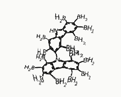 Bc1c(B)c(B)c2c([nH]c3c(B)c(B)c(-n4c5c(B)c(B)c(B)c(B)c5c5c(B)c(B)c(B)c(B)c54)c(B)c32)c1B